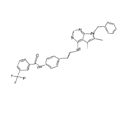 Cc1c(C)n(Cc2ccccc2)c2ncnc(NCCc3ccc(NC(=O)c4cccc(C(F)(F)F)c4)cc3)c12